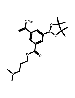 C=C(OC)c1cc(B2OC(C)(C)C(C)(C)O2)cc(C(=O)NCCCN(C)C)c1